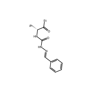 CCC(=O)[C@H](NC(=O)N/N=C/c1ccccc1)C(C)C